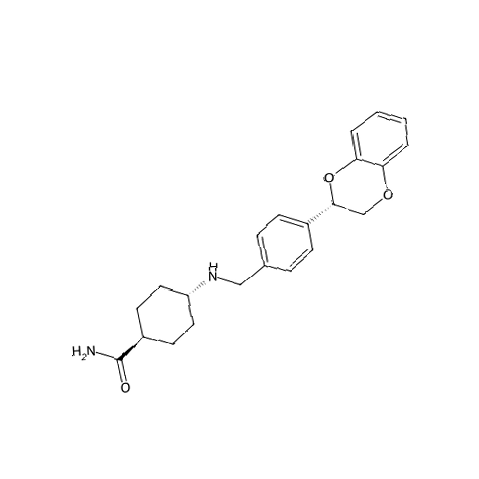 NC(=O)[C@H]1CC[C@H](NCc2ccc([C@H]3COc4ccccc4O3)cc2)CC1